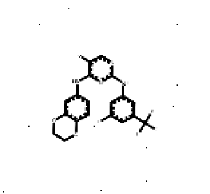 Fc1cc(Nc2ncc(F)c(Nc3ccc4c(c3)OCCO4)n2)cc(C(F)(F)F)c1